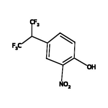 O=[N+]([O-])c1cc(C(C(F)(F)F)C(F)(F)F)ccc1O